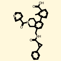 Cc1c(C(=O)O)cccc1-c1ccc(CNC(=O)C2CC2c2ccccc2)c2c1CCN(C(=O)c1cccnc1)C2